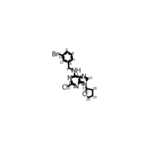 Clc1nc(NCc2cccc(Br)c2)c2ncn(C3CCCO3)c2n1